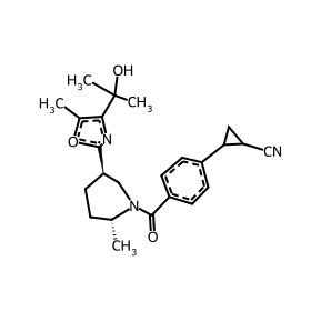 Cc1oc([C@@H]2CC[C@@H](C)N(C(=O)c3ccc(C4CC4C#N)cc3)C2)nc1C(C)(C)O